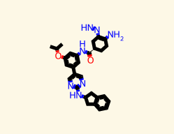 CC(C)Oc1cc(NC(=O)[C@H]2CCC(N)=C(N=N)C2)cc(-c2cnc(NC3Cc4ccccc4C3)nc2)c1